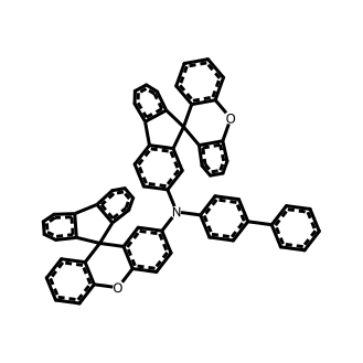 c1ccc(-c2ccc(N(c3ccc4c(c3)C3(c5ccccc5O4)c4ccccc4-c4ccccc43)c3ccc4c(c3)C3(c5ccccc5Oc5ccccc53)c3ccccc3-4)cc2)cc1